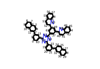 c1cc(-c2ccc3ccccc3c2)cc(-c2nc(-c3cccc(-c4ccc5ccccc5c4)c3)nc(-c3cc(-c4ccc5ccccc5n4)cc(-c4ccc5ccccc5n4)c3)n2)c1